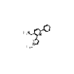 Cn1ccc(-c2nc(-c3ccccc3)ccc2CN)n1